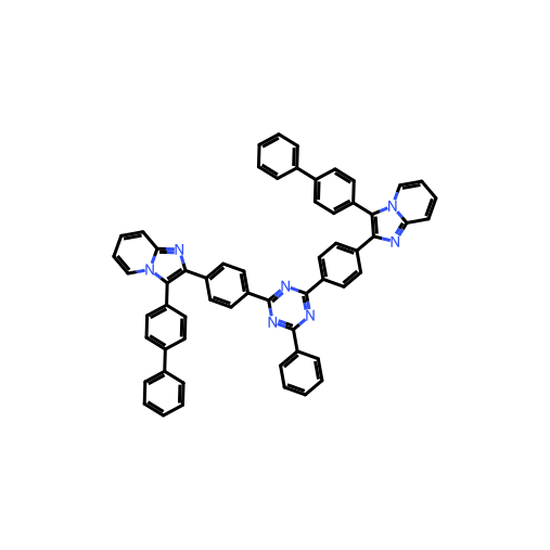 c1ccc(-c2ccc(-c3c(-c4ccc(-c5nc(-c6ccccc6)nc(-c6ccc(-c7nc8ccccn8c7-c7ccc(-c8ccccc8)cc7)cc6)n5)cc4)nc4ccccn34)cc2)cc1